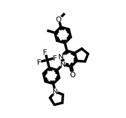 COc1ccc(-c2nn(-c3cc(N4CCCC4)ccc3C(F)(F)F)c(=O)c3c2CCC3)cc1C